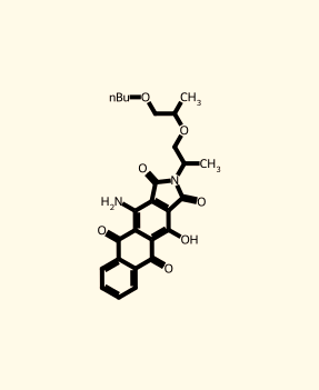 CCCCOCC(C)OCC(C)n1c(=O)c2c(N)c3c(=O)c4ccccc4c(=O)c3c(O)c2c1=O